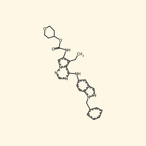 CCc1c(NC(=O)OC2CCOCC2)cn2ncnc(Nc3ccc4c(cnn4Cc4ccccc4)c3)c12